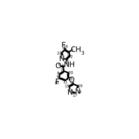 Cc1cc(NC(=O)c2cc(F)cc(Oc3cncnc3)c2)ncc1F